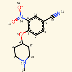 CN1CCC(Oc2ccc(C#N)cc2[N+](=O)[O-])CC1